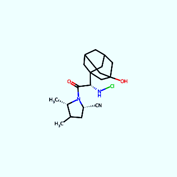 CC1C[C@@H](C#N)N(C(=O)[C@@H](NCl)C23CC4CC(CC(O)(C4)C2)C3)[C@H]1C